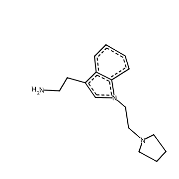 NCCc1cn(CCN2CCCC2)c2ccccc12